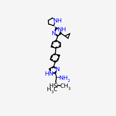 C[SiH](C)C[C@H](N)c1nc(-c2ccc(-c3ccc(-c4nc([C@@H]5CCCN5)[nH]c4C4CC4)cc3)cc2)c[nH]1